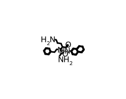 NCCCC(C(=O)Nc1ccc2ccccc2c1)N(CCc1ccccc1)C(=O)CN